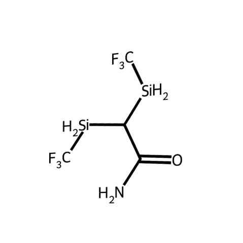 NC(=O)C([SiH2]C(F)(F)F)[SiH2]C(F)(F)F